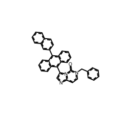 O=c1n(Cc2ccccc2)ccc2ncc(-c3c4ccccc4c(-c4ccc5ccccc5c4)c4ccccc34)n12